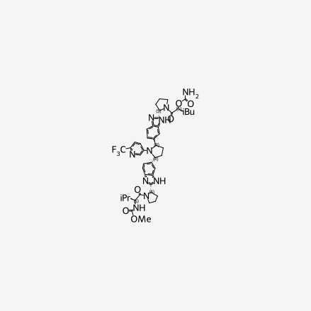 CCC(C)[C@H](OC(N)=O)C(=O)N1CCC[C@H]1c1nc2ccc([C@H]3CC[C@H](c4ccc5nc([C@@H]6CCCN6C(=O)[C@@H](NC(=O)OC)C(C)C)[nH]c5c4)N3c3ccc(C(F)(F)F)nc3)cc2[nH]1